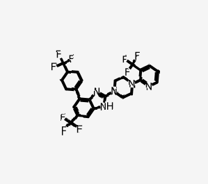 FC(F)(F)c1cc(C2=CCC(C(F)(F)F)CC2)c2nc(N3CCN(c4ncccc4C(F)(F)F)CC3)[nH]c2c1